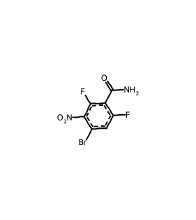 NC(=O)c1c(F)cc(Br)c([N+](=O)[O-])c1F